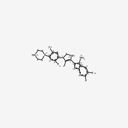 CC1=C(c2sc3nc(C)c(F)cc3c2N)NCC1c1cc(F)c(N2CCNCC2)cc1F